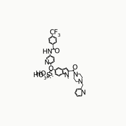 CS(=O)(=O)O.CS(=O)(=O)O.Cn1c(C(=O)N2CCN(Cc3ccccn3)CC2)cc2cc(Oc3ccc(NC(=O)c4ccc(C(F)(F)F)cc4)cn3)ccc21